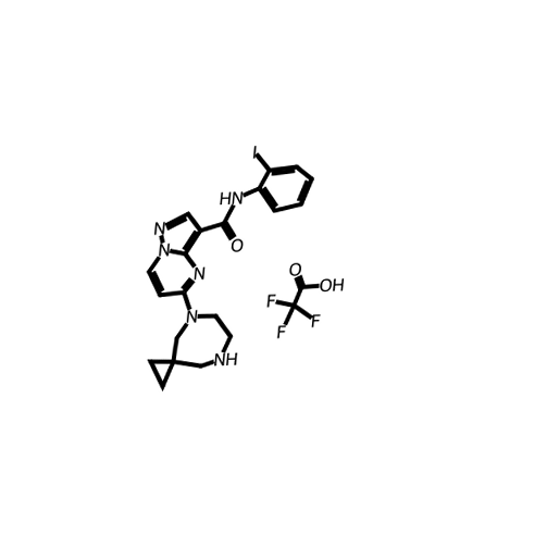 O=C(Nc1ccccc1I)c1cnn2ccc(N3CCNCC4(CC4)C3)nc12.O=C(O)C(F)(F)F